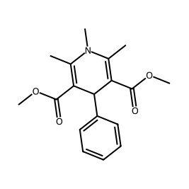 COC(=O)C1=C(C)N(C)C(C)=C(C(=O)OC)C1c1ccccc1